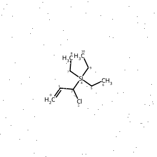 C=CC(Cl)[Si](CC)(CC)CC